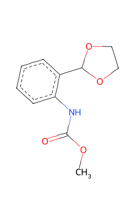 COC(=O)Nc1ccccc1C1OCCO1